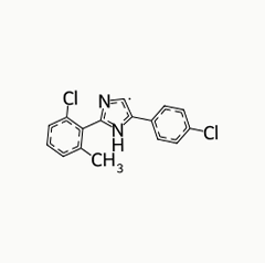 Cc1cccc(Cl)c1-c1n[c]c(-c2ccc(Cl)cc2)[nH]1